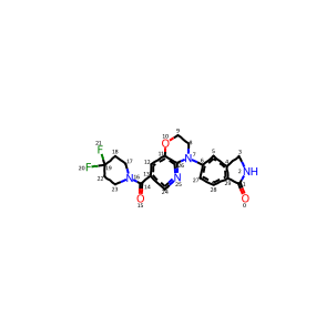 O=C1NCc2cc(N3CCOc4cc(C(=O)N5CCC(F)(F)CC5)cnc43)ccc21